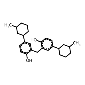 CC1CCCC(c2ccc(O)c(Cc3cc(C4CCCC(C)C4)ccc3O)c2)C1